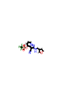 N#Cc1c(NCC2CCOC2)nn2cccc(OS(=O)(=O)C(F)(F)F)c12